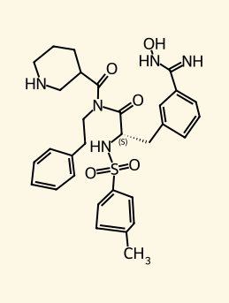 Cc1ccc(S(=O)(=O)N[C@@H](Cc2cccc(C(=N)NO)c2)C(=O)N(CCc2ccccc2)C(=O)C2CCCNC2)cc1